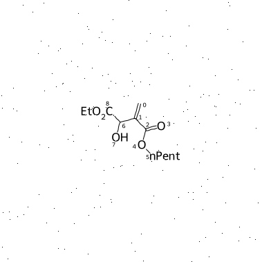 C=C(C(=O)OCCCCC)C(O)C(=O)OCC